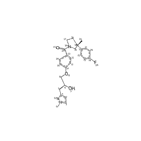 Cn1ccc(CC(O)COc2ccc(C(=O)N3CC[C@](C)(c4ccc(F)cc4)C3)cc2)n1